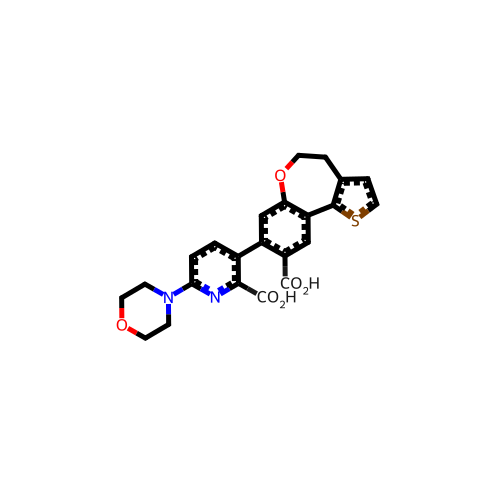 O=C(O)c1cc2c(cc1-c1ccc(N3CCOCC3)nc1C(=O)O)OCCc1ccsc1-2